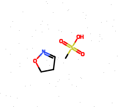 C1=NOCC1.CS(=O)(=O)O